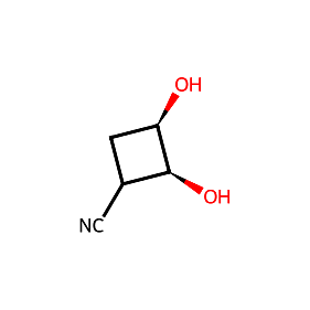 N#CC1C[C@@H](O)[C@H]1O